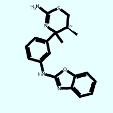 C[C@@H]1CSC(N)=NC1(C)c1cccc(Nc2nc3ccccc3o2)c1